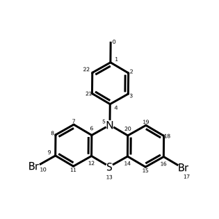 Cc1ccc(N2c3ccc(Br)cc3Sc3cc(Br)ccc32)cc1